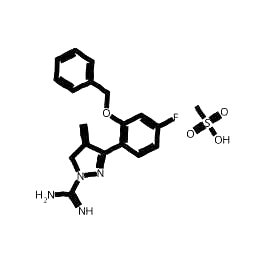 C=C1CN(C(=N)N)N=C1c1ccc(F)cc1OCc1ccccc1.CS(=O)(=O)O